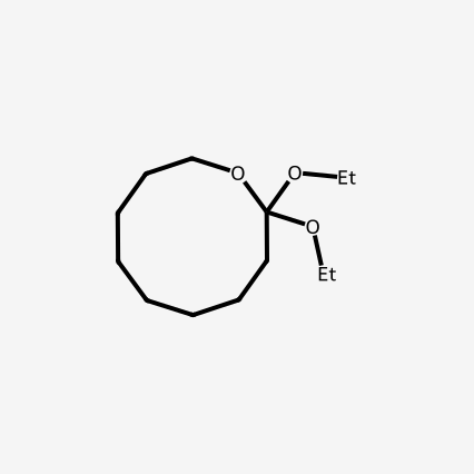 CCOC1(OCC)CCCCCCCCO1